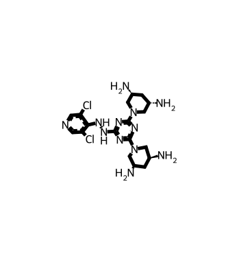 N[C@@H]1C[C@H](N)CN(c2nc(NNc3c(Cl)cncc3Cl)nc(N3C[C@H](N)C[C@H](N)C3)n2)C1